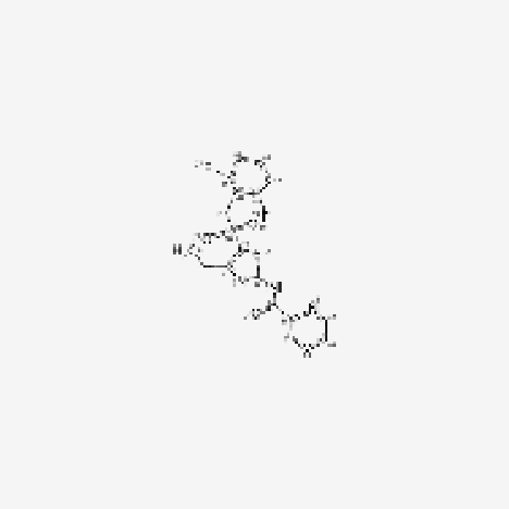 CCc1nc(NC(=O)c2ccccn2)sc1S(=O)(=O)Cc1c(F)cccc1F